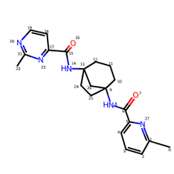 Cc1cccc(C(=O)NC23CCCC(NC(=O)c4ccnc(C)n4)(CC2)C3)n1